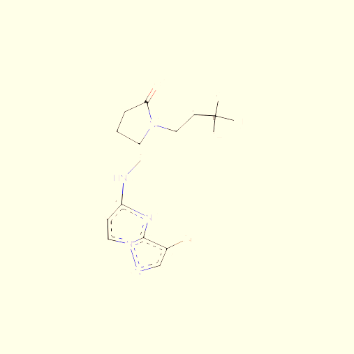 CC(C)(C)CCN1C(=O)CC[C@H]1CNc1ccn2ncc(Br)c2n1